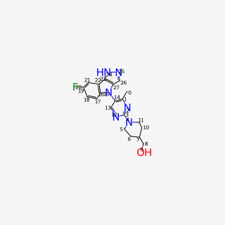 Cc1nc(N2CCC(CO)CC2)ncc1-n1c2ccc(F)cc2c2[nH]ncc21